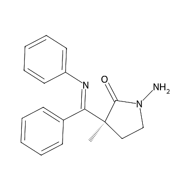 C[C@@]1(/C(=N/c2ccccc2)c2ccccc2)CCN(N)C1=O